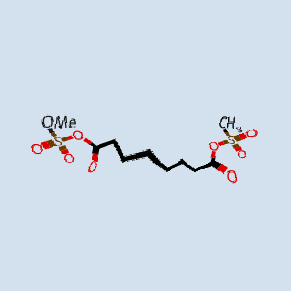 COS(=O)(=O)OC(=O)CCCCCCC(=O)OS(C)(=O)=O